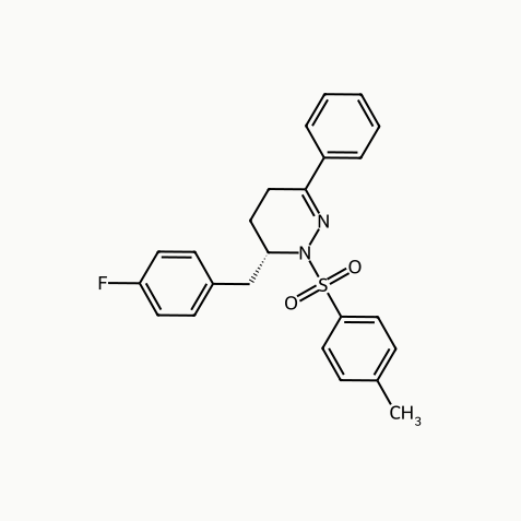 Cc1ccc(S(=O)(=O)N2N=C(c3ccccc3)CC[C@H]2Cc2ccc(F)cc2)cc1